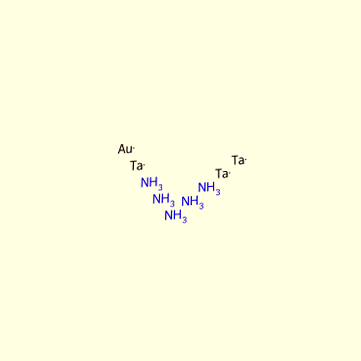 N.N.N.N.N.[Au].[Ta].[Ta].[Ta]